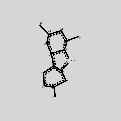 Cc1ccc2c(c1)oc1c(C)cc(C)cc12